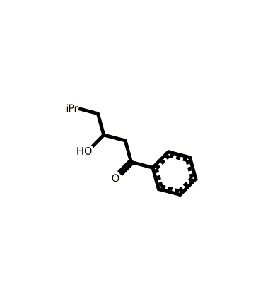 CC(C)CC(O)CC(=O)c1ccccc1